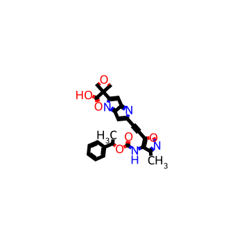 Cc1noc(C#CC2=CC3=NC(C4(C(=O)O)COC4)=CC3=N2)c1NC(=O)OC(C)c1ccccc1